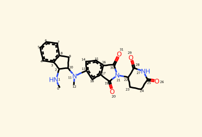 CNC1c2ccccc2CC1N(C)c1ccc2c(c1)C(=O)N(C1CCC(=O)NC1=O)C2=O